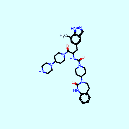 Cc1cc(CC(NC(=O)N2CCC(N3CCc4ccccc4NC3=O)CC2)C(=O)N2CCC(N3CCNCC3)CC2)cc2cn[nH]c12